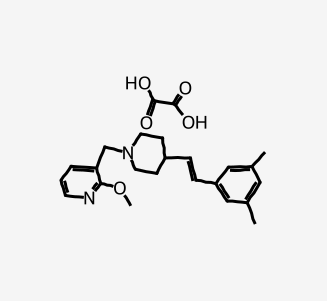 COc1ncccc1CN1CCC(C=Cc2cc(C)cc(C)c2)CC1.O=C(O)C(=O)O